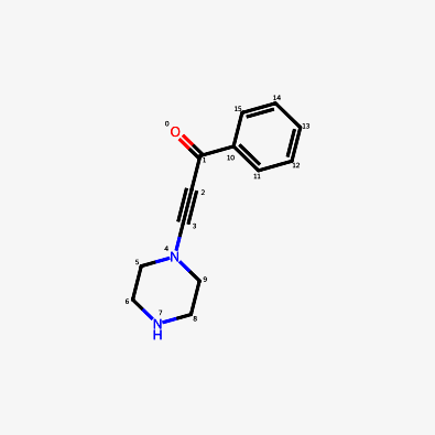 O=C(C#CN1CCNCC1)c1ccccc1